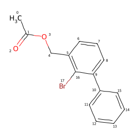 CC(=O)OCc1cccc(-c2ccccc2)c1Br